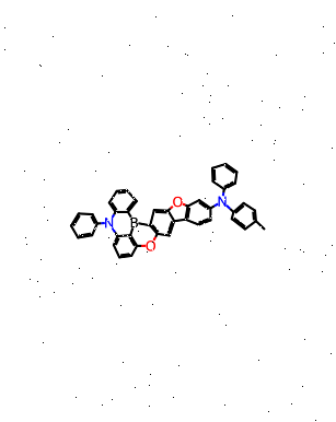 Cc1ccc(N(c2ccccc2)c2ccc3c(c2)oc2cc4c(cc23)Oc2cccc3c2B4c2ccccc2N3c2ccccc2)cc1